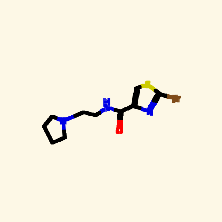 O=C(NCCN1CCCC1)c1csc(Br)n1